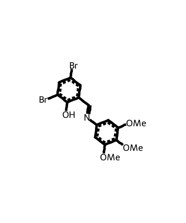 COc1cc(/N=C/c2cc(Br)cc(Br)c2O)cc(OC)c1OC